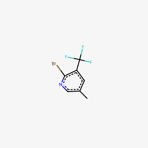 Cc1cnc(Br)c(C(F)(F)F)c1